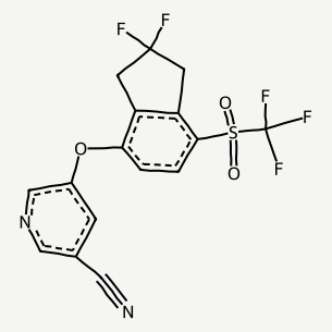 N#Cc1cncc(Oc2ccc(S(=O)(=O)C(F)(F)F)c3c2CC(F)(F)C3)c1